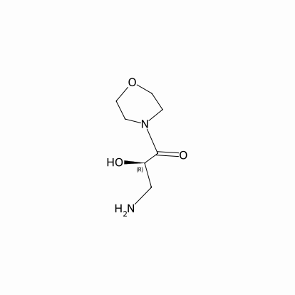 NC[C@@H](O)C(=O)N1CCOCC1